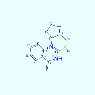 C=C(NC1=NC2CCCC2CS1)c1ccccc1